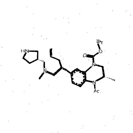 C=CCC(CN(C)C[C@@H]1CCNC1)c1ccc2c(c1)N(C(=O)OC(C)C)C[C@H](C)N2C(C)=O